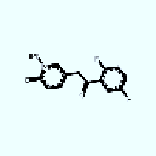 CC(C)n1cc(CC(=O)c2cc(F)ccc2F)ccc1=O